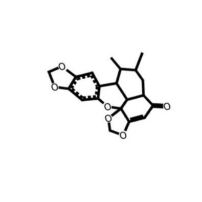 CC1CC2C(=O)C=C3OCOC34Oc3cc5c(cc3C(C1C)C24)OCO5